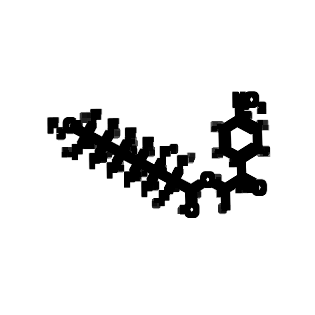 CC(OC(=O)C(F)(F)C(F)(F)C(F)(F)C(F)(F)C(F)(F)C(F)(F)C(F)(F)F)C(=O)c1ccc([N+](=O)[O-])cc1